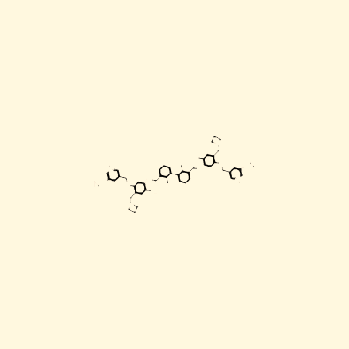 Cc1c(COc2cc(OCc3cncc(C#N)c3)c(CN3CCC3)cc2Br)cccc1-c1cccc(COc2cc(OCc3cncc(C#N)c3)c(CN3CCC3)cc2Br)c1C